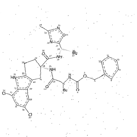 CCC(C)C(NC(=O)OCc1ccccc1)C(=O)N[C@@]1(C(=O)N[C@H](c2nc(C)no2)[C@@H](C)CC)CCc2[nH]c3c(Cl)cc(Cl)cc3c2C1